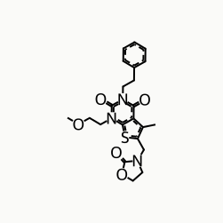 COCCn1c(=O)n(CCc2ccccc2)c(=O)c2c(C)c(CN3CCOC3=O)sc21